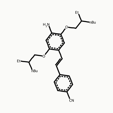 CCCCC(CC)COc1cc(/C=C/c2ccc(C#N)cc2)c(OCC(CC)CCCC)cc1N